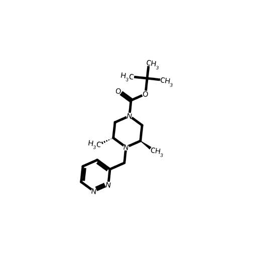 C[C@@H]1CN(C(=O)OC(C)(C)C)C[C@@H](C)N1Cc1cccnn1